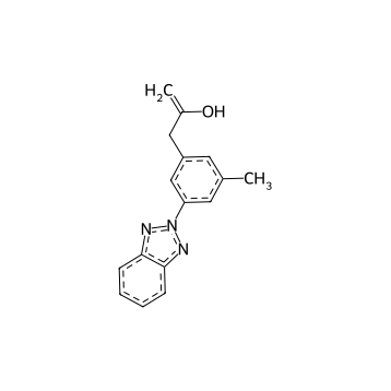 C=C(O)Cc1cc(C)cc(-n2nc3ccccc3n2)c1